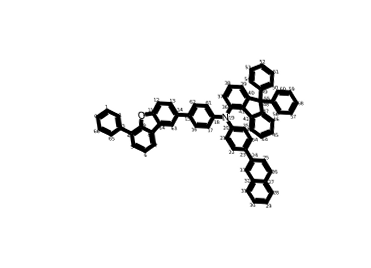 c1ccc(-c2cccc3c2oc2ccc(-c4ccc(N(c5ccc(-c6ccc7ccccc7c6)cc5)c5cccc6c5-c5ccccc5C6(c5ccccc5)c5ccccc5)cc4)cc23)cc1